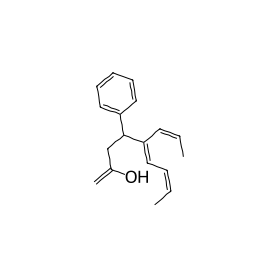 C=C(O)CC(C(/C=C\C)=C/C=C\C)c1ccccc1